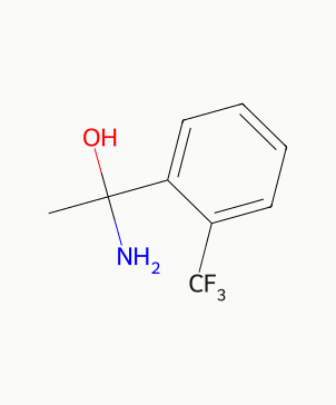 CC(N)(O)c1ccccc1C(F)(F)F